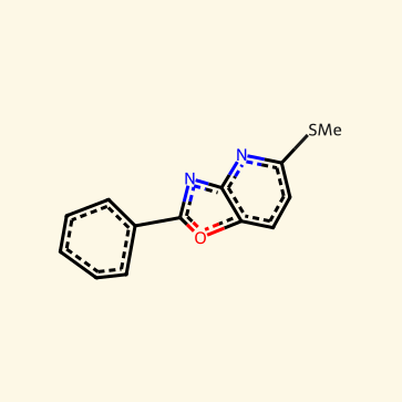 CSc1ccc2oc(-c3ccccc3)nc2n1